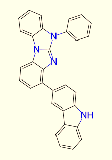 c1ccc(-n2c3ccccc3n3c4cccc(-c5ccc6[nH]c7ccccc7c6c5)c4nc23)cc1